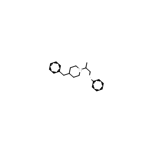 CC(COc1ccccc1)N1CCC(Cc2ccccc2)CC1